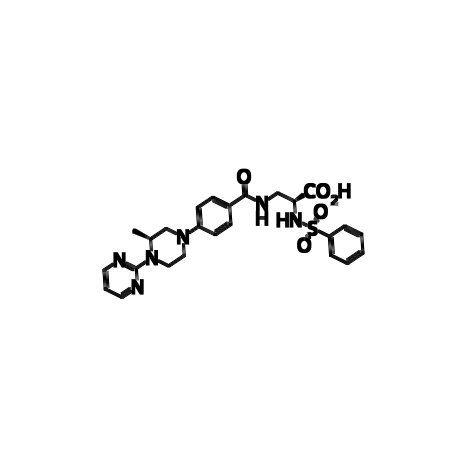 C[C@H]1CN(c2ccc(C(=O)NC[C@H](NS(=O)(=O)c3ccccc3)C(=O)O)cc2)CCN1c1ncccn1